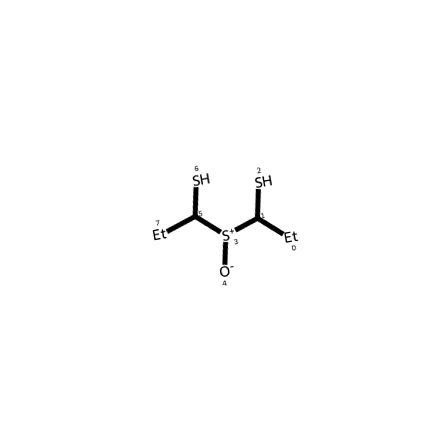 CCC(S)[S+]([O-])C(S)CC